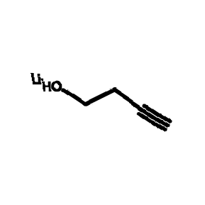 C#CCCO.[Li]